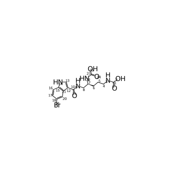 O=C(O)NCCC[C@@H](CNC(=O)c1c[nH]c2ccc(Br)cc12)NC(=O)O